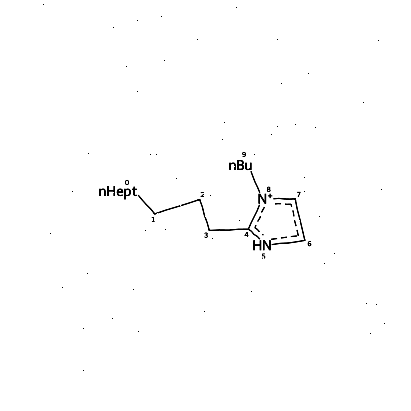 CCCCCCCCCCc1[nH]cc[n+]1CCCC